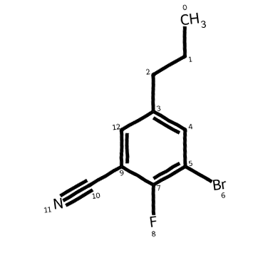 CCCc1cc(Br)c(F)c(C#N)c1